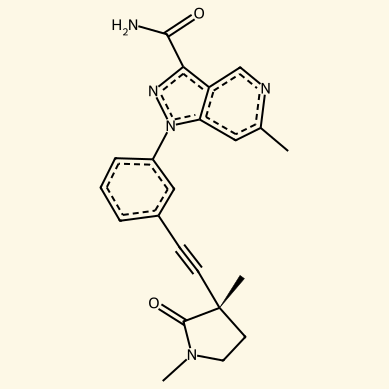 Cc1cc2c(cn1)c(C(N)=O)nn2-c1cccc(C#C[C@]2(C)CCN(C)C2=O)c1